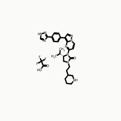 CC(C)[C@H]1CN(CCC2CCCNC2)C(=O)N1c1ccn2ncc(-c3ccc(-c4nc[nH]n4)cc3)c2n1.O=C(O)C(F)(F)F